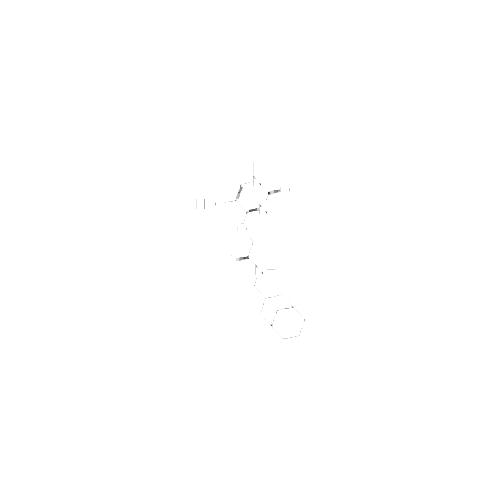 Cc1c[nH]c(=O)nc1OCC(=O)NCC1CC2CCCC(C2)C1